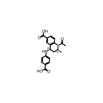 CC(=O)N1c2ccc(C(=O)O)cc2[C@H](Nc2ccc(C(=O)O)cc2)C[C@@H]1C